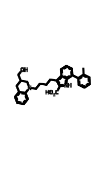 Cc1ccccc1-c1cccc2c(CCCCN3CC(CO)Cc4ccccc43)c(C(=O)O)[nH]c12